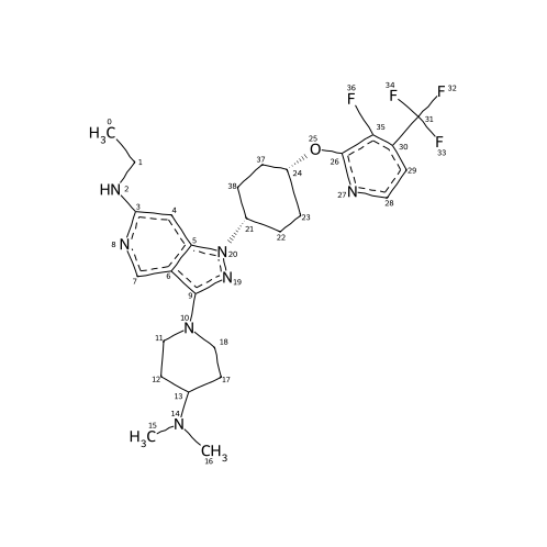 CCNc1cc2c(cn1)c(N1CCC(N(C)C)CC1)nn2[C@H]1CC[C@@H](Oc2nccc(C(F)(F)F)c2F)CC1